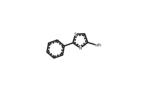 CCCc1csc(-c2cc[c]cc2)n1